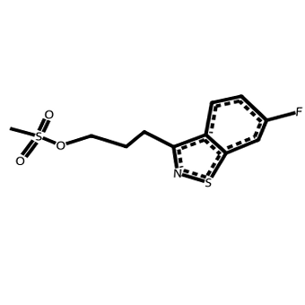 CS(=O)(=O)OCCCc1nsc2cc(F)ccc12